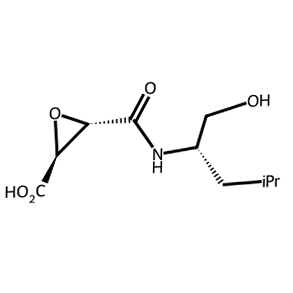 CC(C)C[C@@H](CO)NC(=O)[C@H]1O[C@@H]1C(=O)O